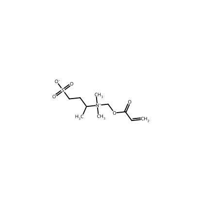 C=CC(=O)OC[N+](C)(C)C(C)CCS(=O)(=O)[O-]